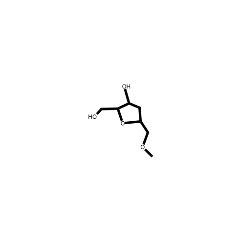 COCC1CC(O)C(CO)O1